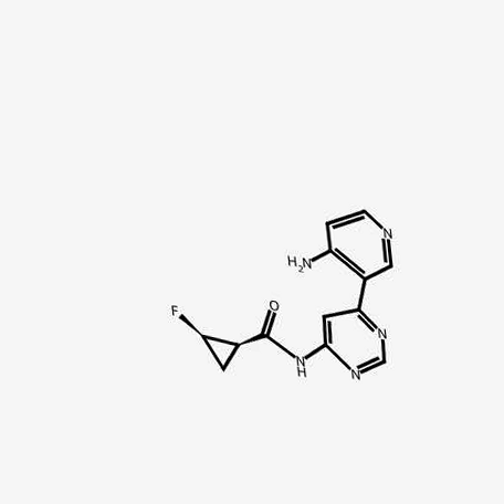 Nc1ccncc1-c1cc(NC(=O)[C@H]2C[C@H]2F)ncn1